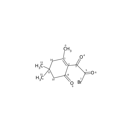 CC1=C(C(=O)C(=O)Br)C(=O)CC(C)(C)C1